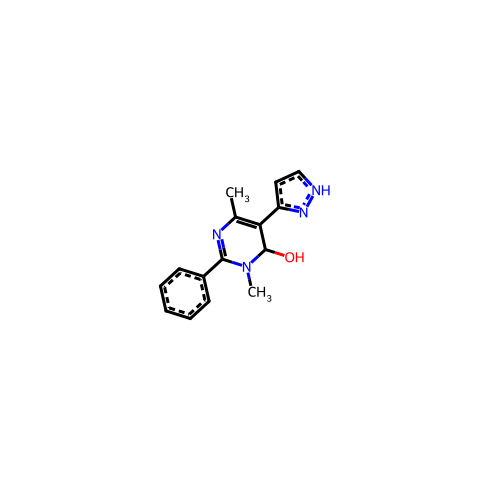 CC1=C(c2cc[nH]n2)C(O)N(C)C(c2ccccc2)=N1